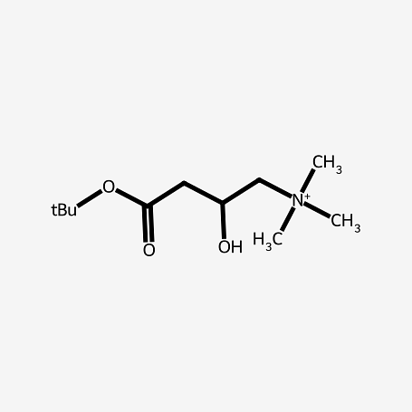 CC(C)(C)OC(=O)CC(O)C[N+](C)(C)C